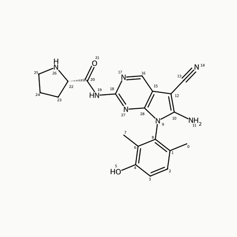 Cc1ccc(O)c(C)c1-n1c(N)c(C#N)c2cnc(NC(=O)[C@@H]3CCCN3)nc21